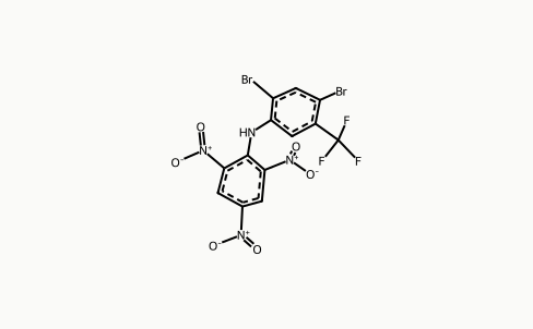 O=[N+]([O-])c1cc([N+](=O)[O-])c(Nc2cc(C(F)(F)F)c(Br)cc2Br)c([N+](=O)[O-])c1